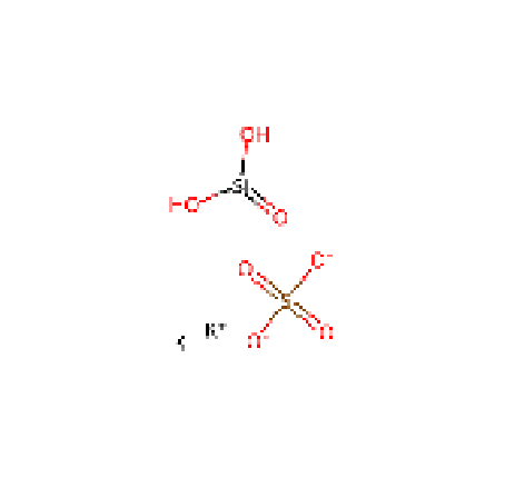 O=S(=O)([O-])[O-].O=[Si](O)O.[K+].[K+]